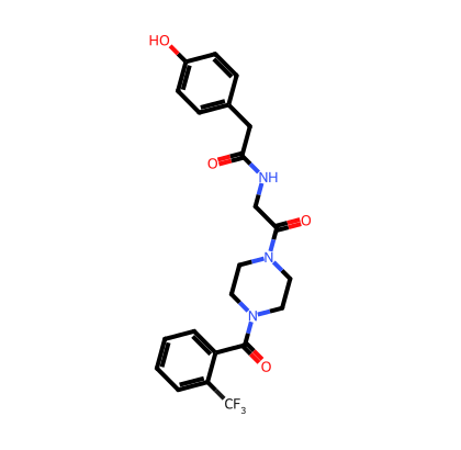 O=C(Cc1ccc(O)cc1)NCC(=O)N1CCN(C(=O)c2ccccc2C(F)(F)F)CC1